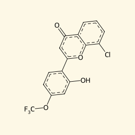 O=c1cc(-c2ccc(OC(F)(F)F)cc2O)oc2c(Cl)cccc12